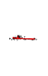 CC(C)(C)OC(=O)NCCCC(NC(=O)OC(C)(C)C)C(=O)NCCOCCOCCOCCNC(=O)CCCCCCCCCCCCCCCCC(=O)O